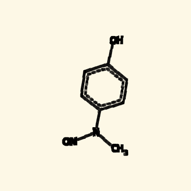 CN(N=O)c1ccc(O)cc1